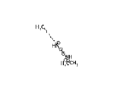 CCCCCCCCCCCCCC(=O)NCCOCCOCCNC(=O)CC(C)C